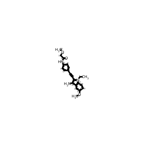 CCn1c(C#Cc2ccc(NC(=O)COC)cc2)c(N)c2cc(OC)ccc21